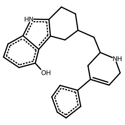 Oc1cccc2[nH]c3c(c12)CC(CC1CC(c2ccccc2)=CCN1)CC3